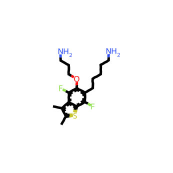 Cc1sc2c(F)c(CCCCCN)c(OCCCN)c(F)c2c1C